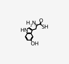 N[C@@H](Cc1c[nH]c2ccc(O)cc12)C(=O)S